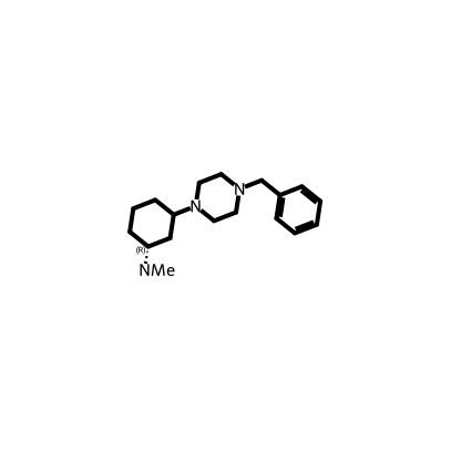 CN[C@@H]1CCCC(N2CCN(Cc3ccccc3)CC2)C1